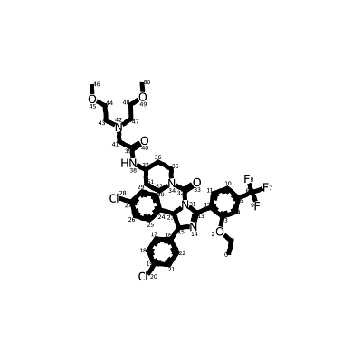 CCOc1cc(C(F)(F)F)ccc1C1=NC(c2ccc(Cl)cc2)C(c2ccc(Cl)cc2)N1C(=O)N1CCC(NC(=O)CN(CCOC)CCOC)CC1